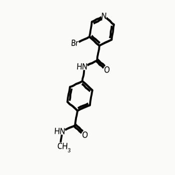 CNC(=O)c1ccc(NC(=O)c2ccncc2Br)cc1